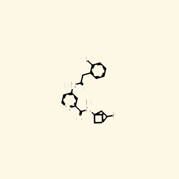 O=C(Cc1ccccc1Cl)Nc1ccnc(C(=O)NC23CC(F)C(C2)C3)c1